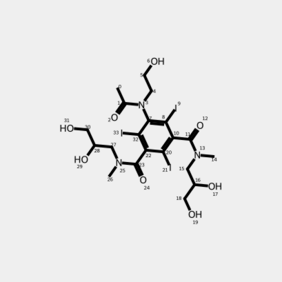 CC(=O)N(CCO)c1c(I)c(C(=O)N(C)CC(O)CO)c(I)c(C(=O)N(C)CC(O)CO)c1I